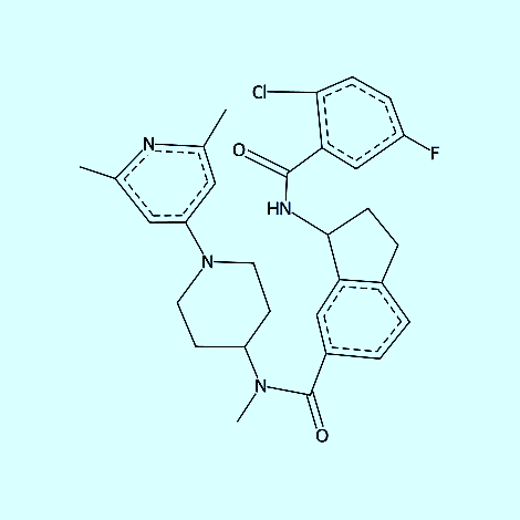 Cc1cc(N2CCC(N(C)C(=O)c3ccc4c(c3)C(NC(=O)c3cc(F)ccc3Cl)CC4)CC2)cc(C)n1